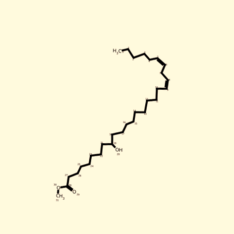 CCCCC/C=C\C/C=C\CCCCCCCCCC(O)CCCCCCCC(=O)OC